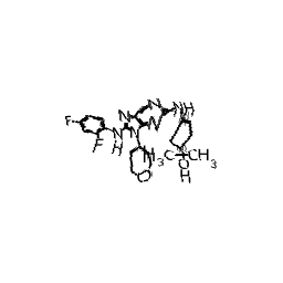 CC(C)(O)[C@@H]1CC[C@H](Nc2ncc3nc(Nc4ccc(F)cc4F)n(C4CCOCC4)c3n2)C1